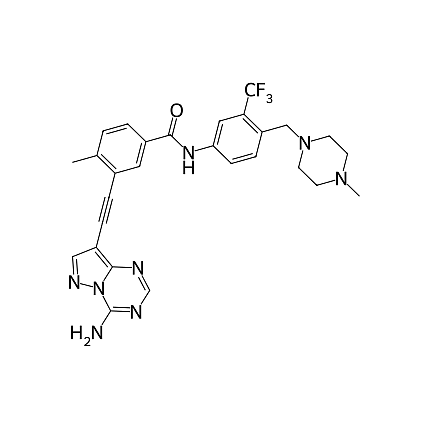 Cc1ccc(C(=O)Nc2ccc(CN3CCN(C)CC3)c(C(F)(F)F)c2)cc1C#Cc1cnn2c(N)ncnc12